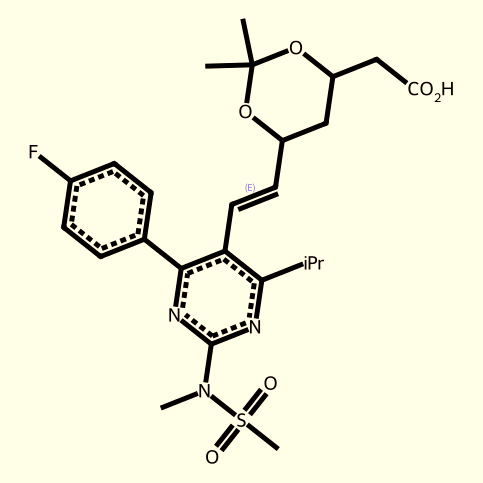 CC(C)c1nc(N(C)S(C)(=O)=O)nc(-c2ccc(F)cc2)c1/C=C/C1CC(CC(=O)O)OC(C)(C)O1